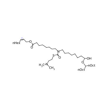 CCCCCC/C=C\COC(=O)CCCCCCCN(CCCCCCCC(O)OC(CCCCCCCC)CCCCCCCC)C(=O)SCCN(C)C